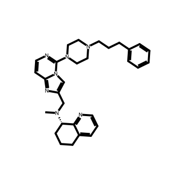 CN(Cc1cn2c(N3CCN(CCCc4ccccc4)CC3)nccc2n1)[C@H]1CCCc2cccnc21